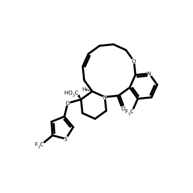 O=C1c2c(C(F)(F)F)ccnc2OCCC/C=C\C[C@H]2N1CCC[C@@]2(Oc1csc(C(F)(F)F)c1)C(=O)O